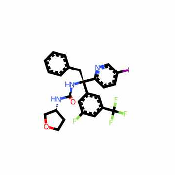 O=C(N[C@@H]1CCOC1)N[C@@](Cc1ccccc1)(c1cc(F)cc(C(F)(F)F)c1)c1ccc(I)cn1